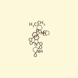 CC1(C)CCC(CN2C3CCC2CN(C(=O)c2ccc4c(c2)C(=O)N(C2CCC(=O)NC2=O)C4=O)C3)=C(c2ccc(Cl)cc2)C1